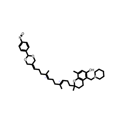 C/C(=C\CC/C(C)=C/CCC1(C)CCc2c(CN3CCCCC3)c(O)cc(C)c2O1)CCC=C1COC(c2ccc(N=O)cc2)OC1